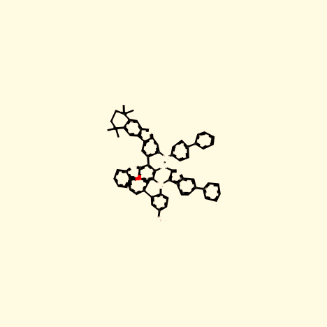 CCCCc1ccc(N2c3cc4c(oc5ccccc54)c4c3B(c3sc5cc(-c6ccccc6)ccc5c32)N(c2ccc(-c3ccccc3)cc2)c2cc3sc5cc6c(cc5c3cc2-4)C(C)(C)CCC6(C)C)c(-c2ccccc2)c1